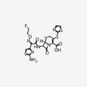 Nc1nc(/C(=N/OCCF)C(=O)N[C@@H]2C(=O)N3C(C(=O)O)=C(Sc4nccs4)CS[C@@H]23)cs1